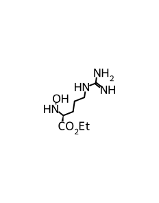 CCOC(=O)[C@H](CCCNC(=N)N)NO